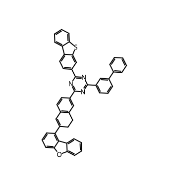 C1=C(c2cccc3oc4ccccc4c23)CCc2cc(-c3nc(-c4cccc(-c5ccccc5)c4)nc(-c4ccc5c(c4)sc4ccccc45)n3)ccc21